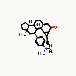 C#CC1C2C(=O)C=C3CC[C@@H]4C(=C3C12)[C@@H](c1ccc(N(C)C)cc1)C[C@]1(C)CCC[C@@H]41